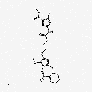 COC(=O)c1cc(NC(=O)CCCOc2cn3c(c2OC)C=[N+]([O-])C2=CCCCC2C3)cn1C